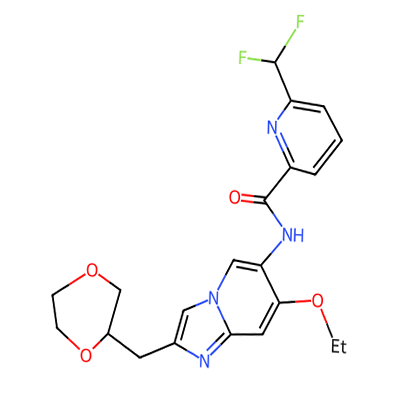 CCOc1cc2nc(CC3COCCO3)cn2cc1NC(=O)c1cccc(C(F)F)n1